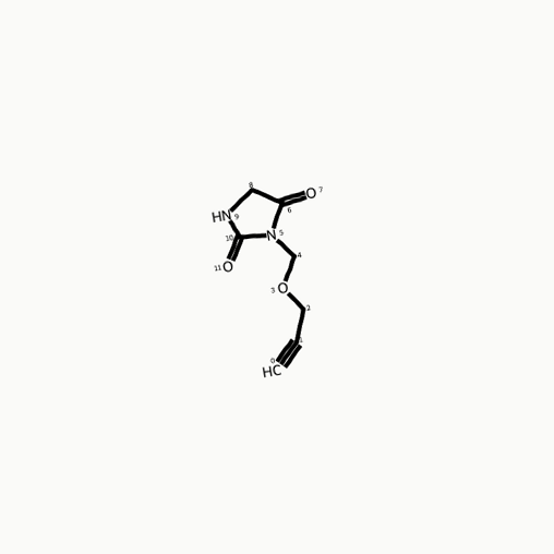 C#CCOCN1C(=O)CNC1=O